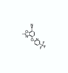 Cc1nc2c(Oc3ccc(C(F)(F)F)cn3)ccc(C#N)c2o1